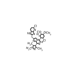 COc1cc(Cl)c(-c2c(F)nc(-c3c(C)nn(C)c3C)c3nc(Cc4nc5nc(Cl)ccc5[nH]4)cn23)cc1OC